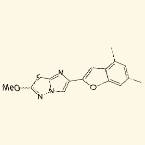 COc1nn2cc(-c3cc4c(C)cc(C)cc4o3)nc2s1